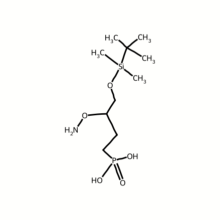 CC(C)(C)[Si](C)(C)OCC(CCP(=O)(O)O)ON